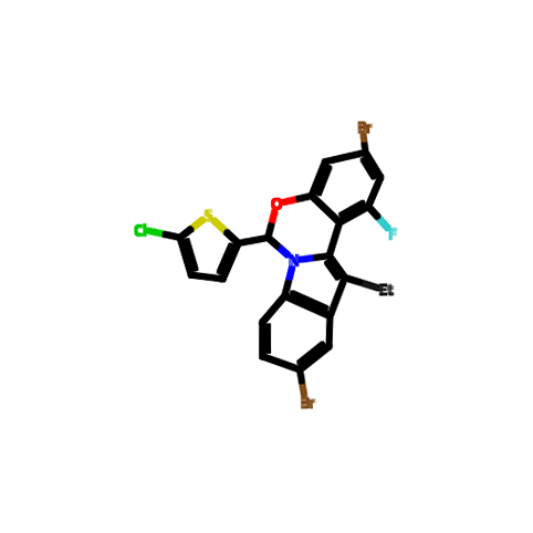 CCc1c2n(c3ccc(Br)cc13)C(c1ccc(Cl)s1)Oc1cc(Br)cc(F)c1-2